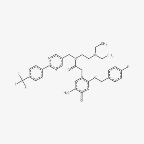 CCN(CC)CCN(Cc1cnc(-c2ccc(C(F)(F)F)cc2)nc1)C(=O)Cn1cc(C)c(=O)nc1SCc1ccc(F)cc1